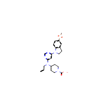 C=CCN(c1cc(N2CCc3cc(S(C)(=O)=O)ccc32)ncn1)C1CCN(C(=O)OC(C)(C)C)CC1